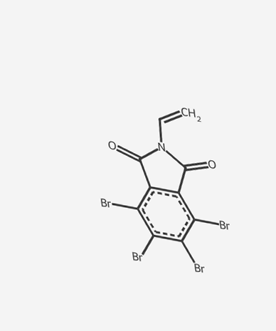 C=CN1C(=O)c2c(Br)c(Br)c(Br)c(Br)c2C1=O